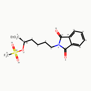 CCOC(=O)[C@@H](CCCCN1C(=O)c2ccccc2C1=O)OS(=O)(=O)C(F)(F)F